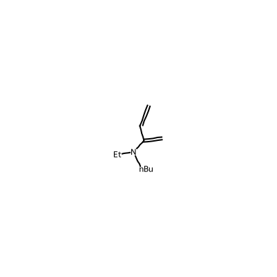 C=CC(=C)N(CC)CCCC